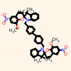 COc1cc([N+](=O)[O-])cc2c1OC1(C=C2)N(Cc2ccc(-c3ccc(CN4c5ccccc5C(C)(C)C45C=Cc4cc([N+](=O)[O-])cc(OC)c4O5)cc3)cc2)c2ccccc2C1(C)C